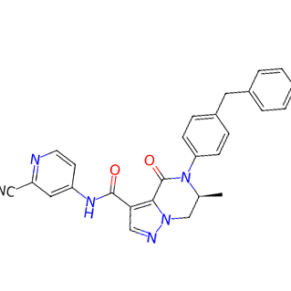 C[C@H]1Cn2ncc(C(=O)Nc3ccnc(C#N)c3)c2C(=O)N1c1ccc(Cc2ccccc2)cc1